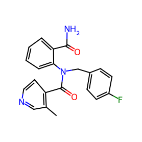 Cc1cnccc1C(=O)N(Cc1ccc(F)cc1)c1ccccc1C(N)=O